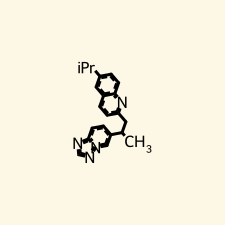 CC(C)c1ccc2nc(CC(C)c3ccc4ncnn4c3)ccc2c1